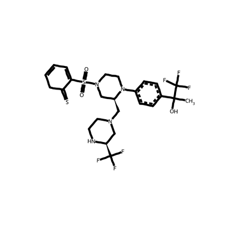 CC(O)(c1ccc(N2CCN(S(=O)(=O)C3=CC=CCC3=S)C[C@@H]2CN2CCN[C@H](C(F)(F)F)C2)cc1)C(F)(F)F